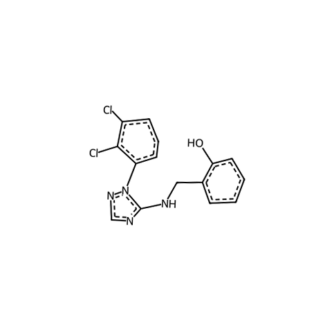 Oc1ccccc1CNc1ncnn1-c1cccc(Cl)c1Cl